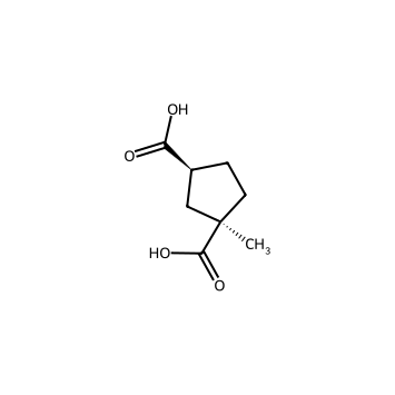 C[C@@]1(C(=O)O)CC[C@H](C(=O)O)C1